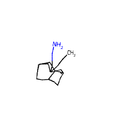 CC1(N)C=C2CC3CC(CC23)C1